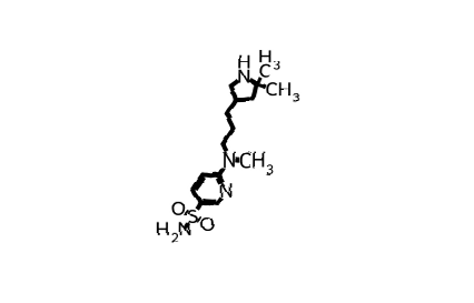 CN(CCCC1CNC(C)(C)C1)c1ccc(S(N)(=O)=O)cn1